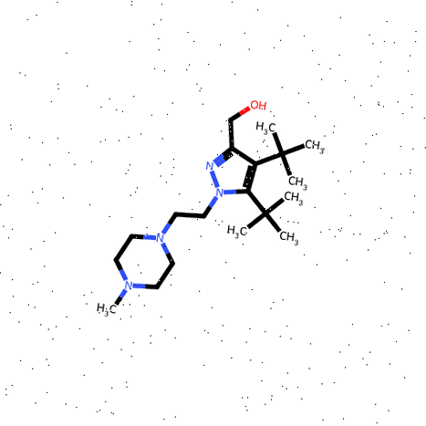 CN1CCN(CCn2nc(CO)c(C(C)(C)C)c2C(C)(C)C)CC1